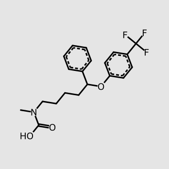 CN(CCCCC(Oc1ccc(C(F)(F)F)cc1)c1ccccc1)C(=O)O